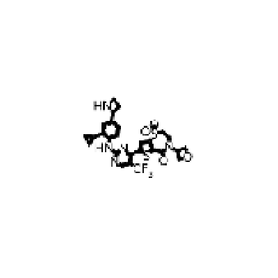 O=C1c2sc(-c3nc(Nc4ccc(C5CCN5)cc4C4CC4)ncc3C(F)(F)F)cc2S(=O)(=O)CCN1C1COC1